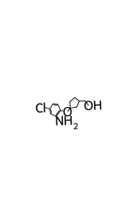 Nc1cc(Cl)ccc1OC1CCC(CO)C1